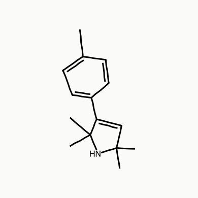 Cc1ccc(C2=CC(C)(C)NC2(C)C)cc1